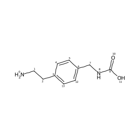 NCCc1ccc(CNC(=O)O)cc1